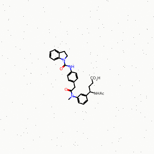 CC(=O)NC(CCC(=O)O)c1cccc(N(C)C(=O)Cc2ccc(NC(=O)N3CCc4ccccc43)cc2)c1